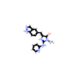 CN1C(=O)/C(=C/c2ccc3[nH]ncc3c2)N=C1Nc1ccccn1